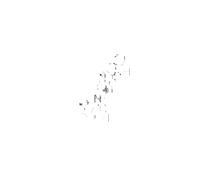 Cc1ccnc(C)c1C(=O)N1CC2CN(CC([CH]c3ccccc3)C(N)=O)C[C@H]2C1